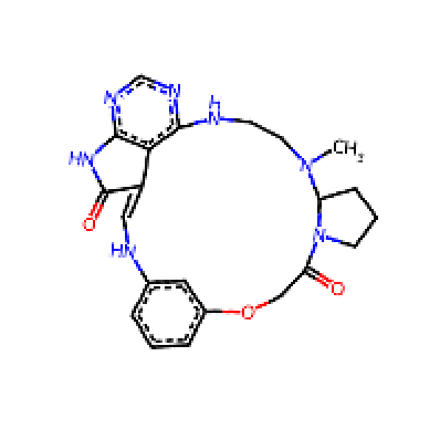 CN1CCNc2ncnc3c2/C(=C/Nc2cccc(c2)OCC(=O)N2CCCC12)C(=O)N3